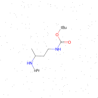 CCCNC(C)CCNC(=O)OC(C)(C)C